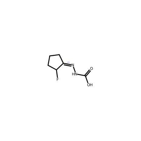 O=C(O)N/N=C1/CCCC1F